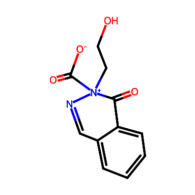 O=C([O-])[N+]1(CCO)N=Cc2ccccc2C1=O